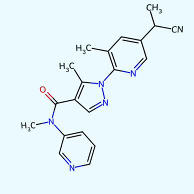 Cc1cc(C(C)C#N)cnc1-n1ncc(C(=O)N(C)c2cccnc2)c1C